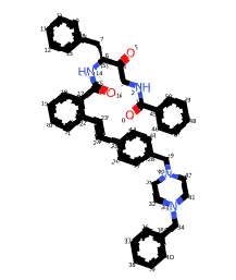 O=C(NCC(=O)[C@H](Cc1ccccc1)NC(=O)c1ccccc1C=Cc1ccc(CN2CCN(Cc3ccccc3)CC2)cc1)c1ccccc1